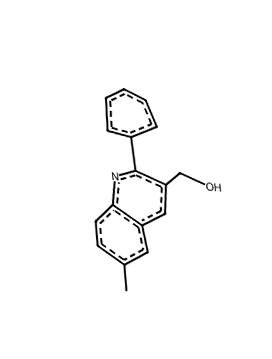 Cc1ccc2nc(-c3ccccc3)c(CO)cc2c1